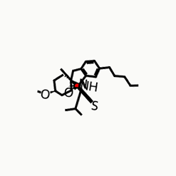 CCCCCc1ccc2c(c1)C1(NC(=S)N(C(C)C)C1=O)[C@]1(CC[C@H](OC)CC1)C2